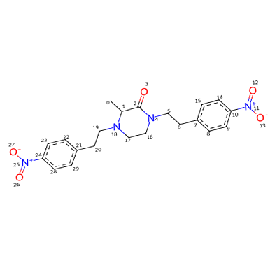 CC1C(=O)N(CCc2ccc([N+](=O)[O-])cc2)CCN1CCc1ccc([N+](=O)[O-])cc1